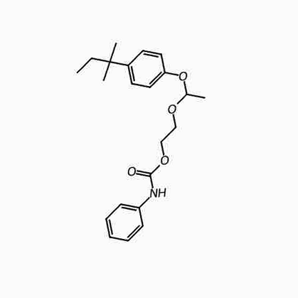 CCC(C)(C)c1ccc(OC(C)OCCOC(=O)Nc2ccccc2)cc1